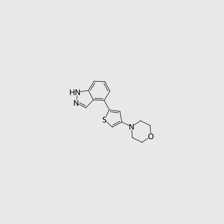 c1cc(-c2cc(N3CCOCC3)cs2)c2cn[nH]c2c1